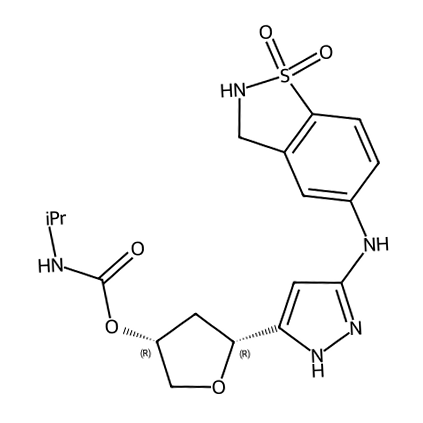 CC(C)NC(=O)O[C@H]1CO[C@@H](c2cc(Nc3ccc4c(c3)CNS4(=O)=O)n[nH]2)C1